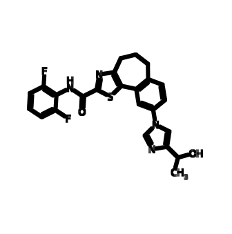 CC(O)c1cn(-c2ccc3c(c2)-c2sc(C(=O)Nc4c(F)cccc4F)nc2CCC3)cn1